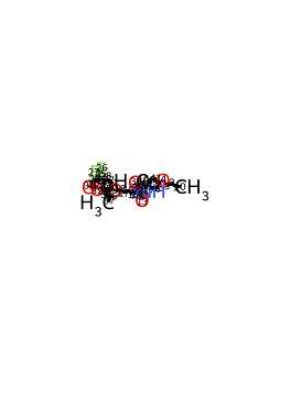 CCCCOc1ccc(C2(C)NC(=O)N(CCCCOc3ccc4c(C(F)(F)F)cc(=O)oc4c3CCC)C2=O)cc1